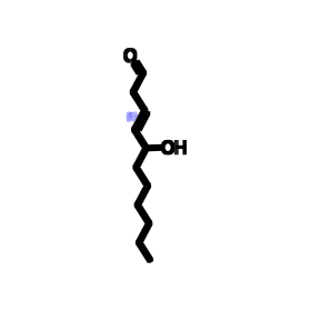 CCCCCCC(O)/C=C/CC=O